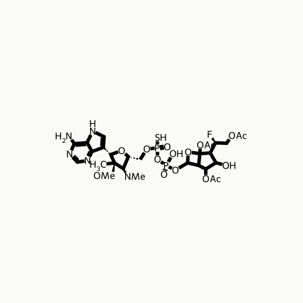 CN[C@@H]1[C@@H](COP(=O)(S)OP(=O)(O)OC2OC3(OC(C)=O)C2C(OC(C)=O)C(O)C3[C@@H](F)COC(C)=O)O[C@@H](c2c[nH]c3c(N)ncnc23)[C@]1(C)OC